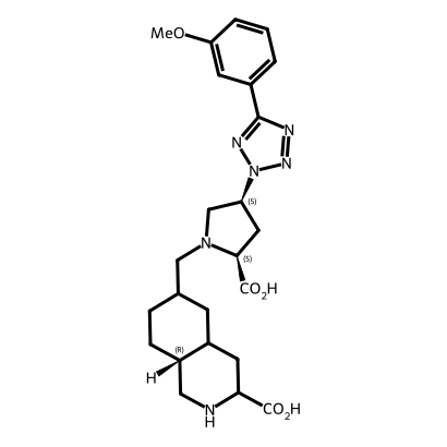 COc1cccc(-c2nnn([C@H]3C[C@@H](C(=O)O)N(CC4CC[C@H]5CNC(C(=O)O)CC5C4)C3)n2)c1